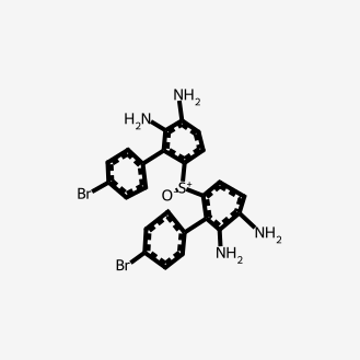 Nc1ccc([S+]([O-])c2ccc(N)c(N)c2-c2ccc(Br)cc2)c(-c2ccc(Br)cc2)c1N